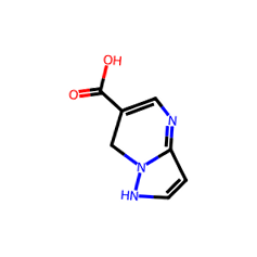 O=C(O)C1=CN=C2C=CNN2C1